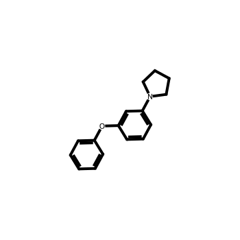 c1ccc(Oc2cccc(N3CCCC3)c2)cc1